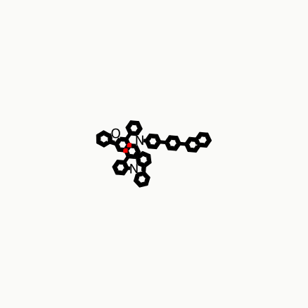 c1ccc(N(c2ccc(-c3ccc(-c4ccc5ccccc5c4)cc3)cc2)c2ccc(-c3ccccc3-n3c4ccccc4c4ccccc43)cc2)c(-c2cccc3c2oc2ccccc23)c1